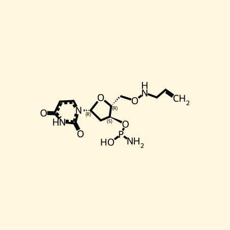 C=CCNOC[C@H]1O[C@@H](n2ccc(=O)[nH]c2=O)C[C@@H]1OP(N)O